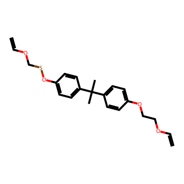 C=COCCOc1ccc(C(C)(C)c2ccc(OSCOC=C)cc2)cc1